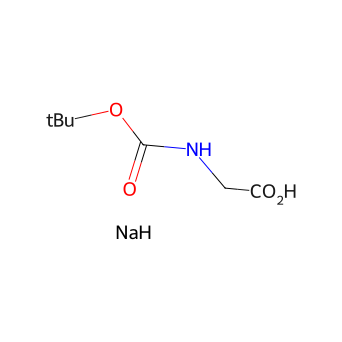 CC(C)(C)OC(=O)NCC(=O)O.[NaH]